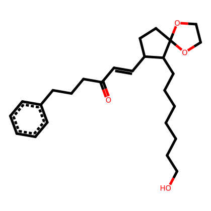 O=C(C=CC1CCC2(OCCO2)C1CCCCCCCO)CCCc1ccccc1